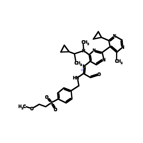 COCCS(=O)(=O)c1ccc(CN/C(C=O)=N/c2cnc(-c3c(C)ncnc3C3CC3)nc2N(C)C(C)C2CC2)cc1